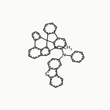 CCc1ccc2cccc3c2c1C1(c2ccccc2-c2ccc(N(c4ccccc4)c4ccc5sc6ccccc6c5c4)cc21)c1ccccc1-3